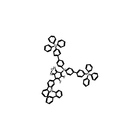 Fc1c(F)c(N(c2ccc(-c3ccc([Si](c4ccccc4)(c4ccccc4)c4ccccc4)cc3)cc2)c2ccc(-c3ccc([Si](c4ccccc4)(c4ccccc4)c4ccccc4)cc3)cc2)c2nsnc2c1-c1ccc2c3ccccc3n(-c3ccccc3-c3ccccc3)c2c1